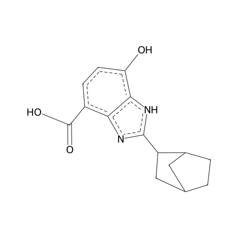 O=C(O)c1ccc(O)c2[nH]c(C3CC4CCC3C4)nc12